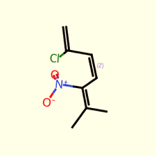 C=C(Cl)/C=C\C(=C(C)C)[N+](=O)[O-]